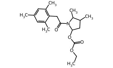 CCOC(=O)OC1CC(C)C(C)N1C(=O)Cc1c(C)cc(C)cc1C